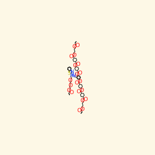 C=CC(=O)OCCCCOC(=O)C1CCC(C(=O)OC2CCC(C(=O)Oc3ccc(OC(=O)C4CCC(OC(=O)C5CCC(C(=O)OCCCCOC(=O)C=C)CC5)CC4)c(/C=N/N(CCOCCOCCOC(=O)C=C)c4nc5ccccc5s4)c3)CC2)CC1